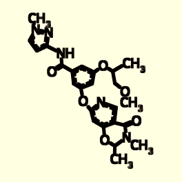 COCC(C)Oc1cc(Oc2cc3c(cn2)C(=O)N(C)C(C)O3)cc(C(=O)Nc2ccn(C)n2)c1